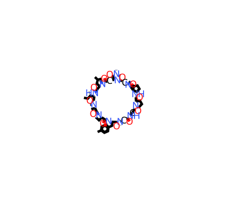 CC[C@H](C)C1NC(=O)C(CC(C)C)N(C)C(=O)CC(C(=O)N(C)C)N(C)C(=O)CN(C)C(=O)C2(CCCC2)NC(=O)C2CCCN2C(=O)CNC(=O)CN(C)C(=O)C(Cc2ccc(C)cc2)N(CC)C(=O)C2CCN2C(=O)C(C)N(C)C1=O